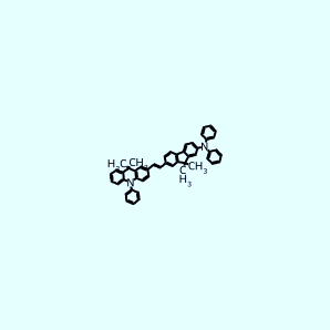 CC1(C)c2cc(/C=C/c3ccc4c(c3)C(C)(C)c3ccccc3N4c3ccccc3)ccc2-c2ccc(N(c3ccccc3)c3ccccc3)cc21